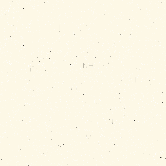 CC(C)c1cc(Cl)cc(NC(=O)c2cc(N3CCCS3(=O)=O)cc(Cl)c2Cl)c1